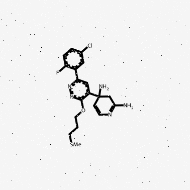 CSCCCOc1nnc(-c2cc(Cl)ccc2F)cc1C1(N)C=CN=C(N)C1